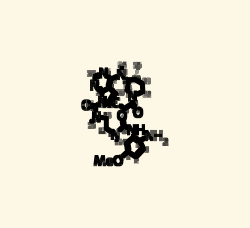 COc1ccc(N)c(NC(=O)N(C)CCN(C)C(=O)n2ccc3c(N(C)[C@H]4CN(C(=O)CC#N)CC[C@H]4C)ncnc32)c1